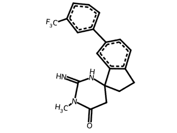 CN1C(=N)NC2(CCc3ccc(-c4cccc(C(F)(F)F)c4)cc32)CC1=O